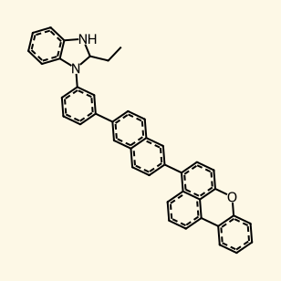 CCC1Nc2ccccc2N1c1cccc(-c2ccc3cc(-c4ccc5c6c(cccc46)-c4ccccc4O5)ccc3c2)c1